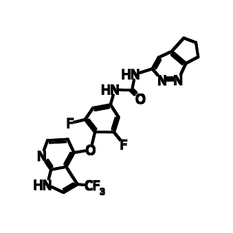 O=C(Nc1cc(F)c(Oc2ccnc3[nH]cc(C(F)(F)F)c23)c(F)c1)Nc1cc2c(nn1)CCC2